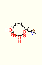 C/C1=C\C[C@@H](/C(C)=C/c2csc(C)n2)OC(=O)CC(O)C(C)(C)S(=O)(=O)C(C)C(O)[C@@H](C)CCC1